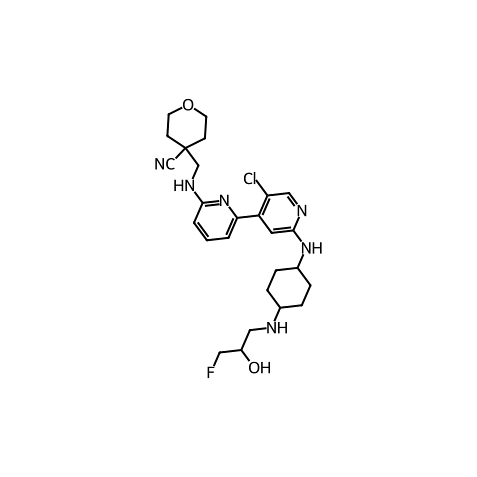 N#CC1(CNc2cccc(-c3cc(NC4CCC(NCC(O)CF)CC4)ncc3Cl)n2)CCOCC1